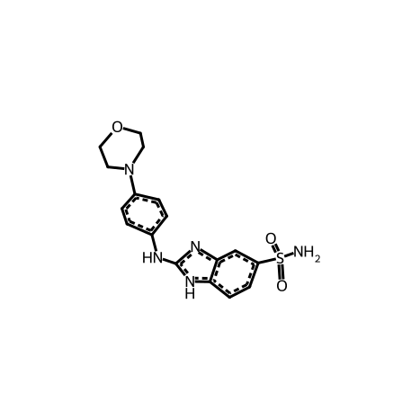 NS(=O)(=O)c1ccc2[nH]c(Nc3ccc(N4CCOCC4)cc3)nc2c1